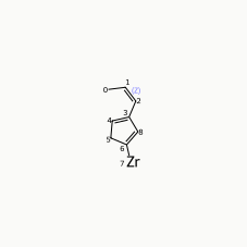 C/C=C\C1=CC[C]([Zr])=C1